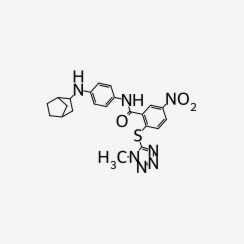 Cn1nnnc1Sc1ccc([N+](=O)[O-])cc1C(=O)Nc1ccc(NC2CC3CCC2C3)cc1